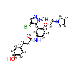 Cn1ncc(Br)c1-c1cc(NC(=O)CCc2ccc(O)cc2)ccc1OCCN1CCCC1